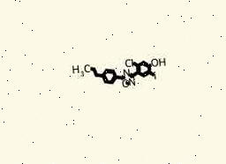 CCCc1ccc(-c2nc(-c3cc(I)c(O)cc3Cl)no2)cc1